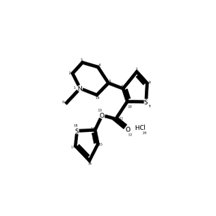 CN1CCCC(c2ccsc2C(=O)Oc2cccs2)C1.Cl